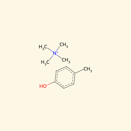 C[N+](C)(C)C.Cc1ccc(O)cc1